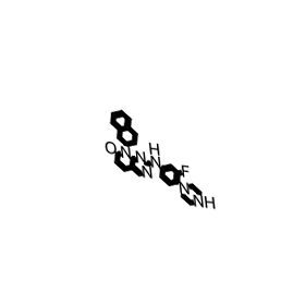 O=c1ccc2cnc(Nc3ccc(N4CCNCC4)c(F)c3)nc2n1C1CCc2ccccc2C1